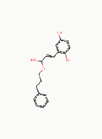 Oc1ccc(O)c(/C=C/C(O)OCCCc2ccccc2)c1